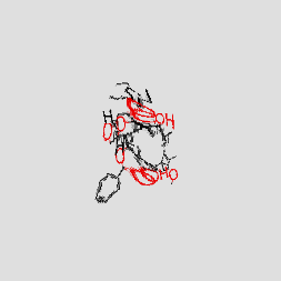 CC[Si](CC)(CC)OC1C[C@H]2OC[C@@]2(OC(C)=O)[C@H]2[C@H](OC(=O)c3ccccc3)[C@]3(O)CC(OC)C(C)=C([C@H](C)[C@H](O)[C@]12C)C3(C)C